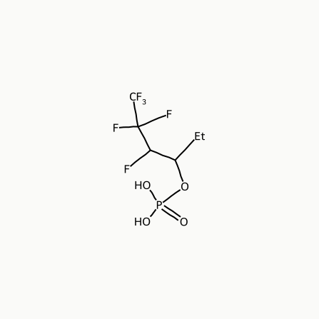 CCC(OP(=O)(O)O)C(F)C(F)(F)C(F)(F)F